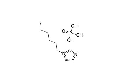 CCCCCCn1ccnc1.O=P(O)(O)O